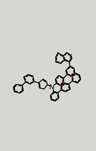 C1=CC(N(c2ccc(-c3cccc(-c4cccc5ccccc45)c3)cc2)c2ccccc2-c2ccc(-c3ccccc3)cc2)CC=C1c1cccc(-c2ccccc2)c1